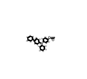 c1ccc(-c2ccc(N(c3ccccc3)c3ccc(OC4CO4)cc3)cc2)cc1